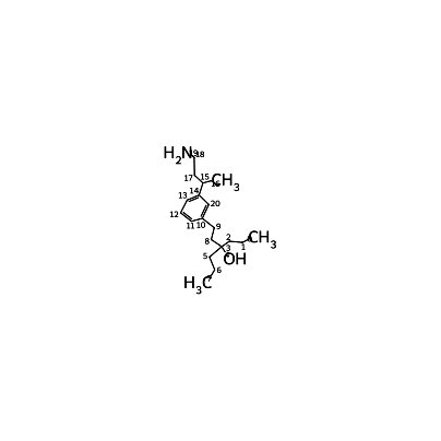 CCCC(O)(CCC)CCc1cccc(C(C)CCN)c1